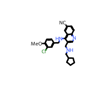 COc1ccc(CNc2c(CNCC3CCCC3)cnc3ccc(C#N)cc23)cc1Cl